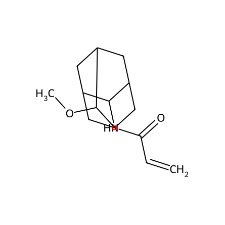 C=CC(=O)NC1C2CC3CC1CC(C2)C3OC